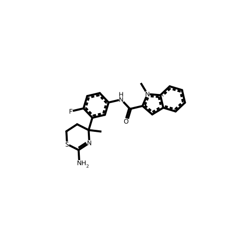 Cn1c(C(=O)Nc2ccc(F)c(C3(C)CCSC(N)=N3)c2)cc2ccccc21